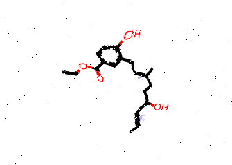 C/C=C/C(O)CC/C(C)=C/Cc1cc(C(=O)OCC)ccc1O